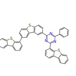 c1ccc(-c2nc(-c3ccc4sc5ccc(-c6cccc7c6sc6ccccc67)cc5c4c3)nc(-c3cccc4c3sc3ccccc34)n2)cc1